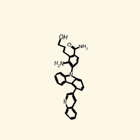 NC(=O)c1ccc(-n2c3ccccc3c3c(-c4cnc5ccccc5c4)cccc32)c(N)c1CCCO